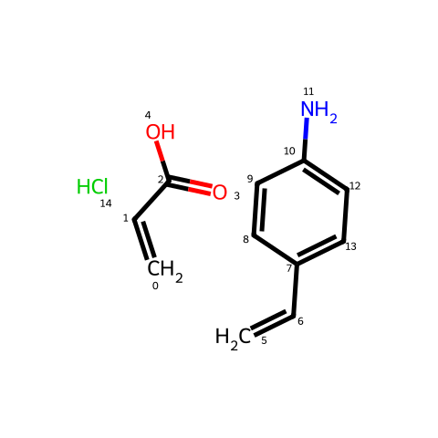 C=CC(=O)O.C=Cc1ccc(N)cc1.Cl